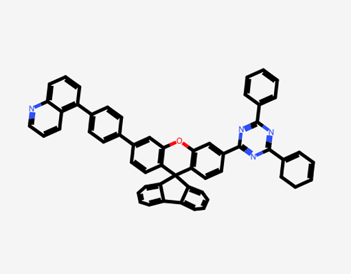 C1=CCCC(c2nc(-c3ccccc3)nc(-c3ccc4c(c3)Oc3cc(-c5ccc(-c6cccc7ncccc67)cc5)ccc3C43c4ccccc4-c4ccccc43)n2)=C1